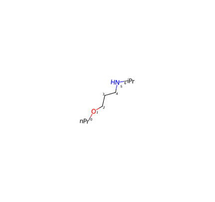 CCCOCCCNC(C)C